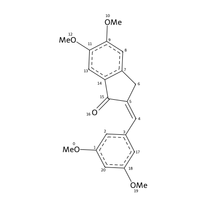 COc1cc(C=C2Cc3cc(OC)c(OC)cc3C2=O)cc(OC)c1